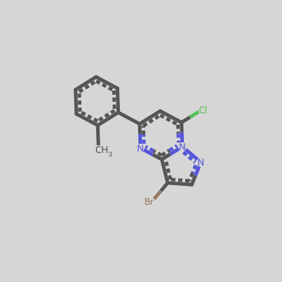 Cc1ccccc1-c1cc(Cl)n2ncc(Br)c2n1